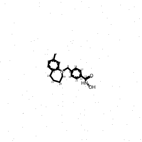 Cc1ccc2c(c1)N(Cc1ccc(C(=O)NO)cc1)CCCC2